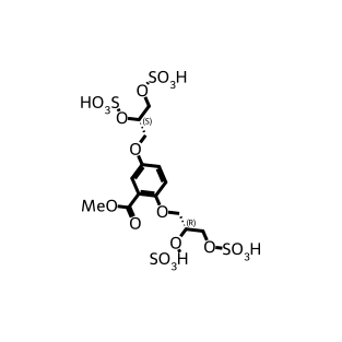 COC(=O)c1cc(OC[C@@H](COS(=O)(=O)O)OS(=O)(=O)O)ccc1OC[C@H](COS(=O)(=O)O)OS(=O)(=O)O